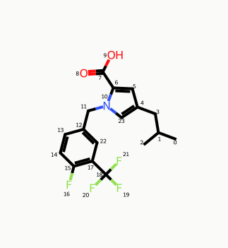 CC(C)Cc1cc(C(=O)O)n(Cc2ccc(F)c(C(F)(F)F)c2)c1